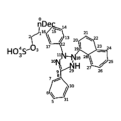 CCCCCCCCCCCCOS(=O)(=O)O.c1ccc(C2=NN(c3ccccc3)N(c3cccc4ccccc34)N2)cc1